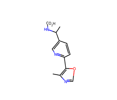 Cc1ncoc1-c1ccc(C(C)NC(=O)O)cn1